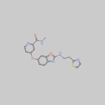 CNC(=O)c1cc(Oc2ccc3nc(NCCc4nccs4)oc3c2)ccn1